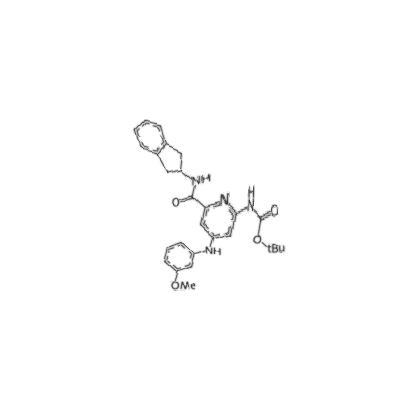 COc1cccc(Nc2cc(NC(=O)OC(C)(C)C)nc(C(=O)NC3Cc4ccccc4C3)c2)c1